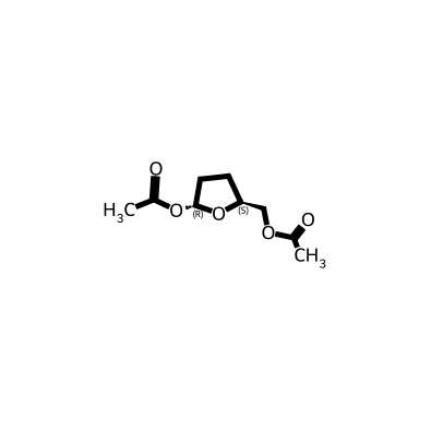 CC(=O)OC[C@@H]1CC[C@@H](OC(C)=O)O1